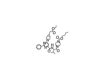 CCCCOC(=O)N1CCN(C(=O)[C@@H](NC(=O)c2cc(N3CC4C(CC(=O)OCC)C4C3)nc(-c3ccccc3)n2)C(C)C)CC1